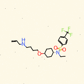 C=CCNCCCCO[C@H]1CC[C@H](N(CC)S(=O)(=O)c2ccc(C(F)(F)F)cc2)CC1